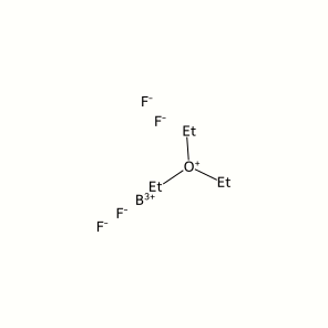 CC[O+](CC)CC.[B+3].[F-].[F-].[F-].[F-]